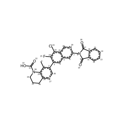 Cc1c(-c2cc3cc(N4C(=O)c5ccccc5C4=O)ncc3c(Cl)c2F)cnc2c1N(C(=O)O)CCC2